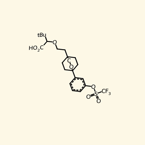 CC(C)(C)C(OCCC12CCC(c3cccc(OS(=O)(=O)C(F)(F)F)c3)(CC1)OC2)C(=O)O